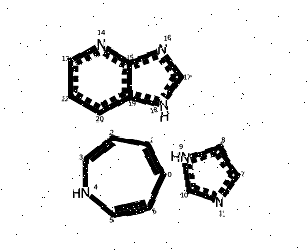 C1=CC=CNC=C1.c1c[nH]cn1.c1cnc2nc[nH]c2c1